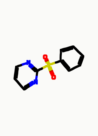 O=S(=O)(c1ccccc1)c1ncccn1